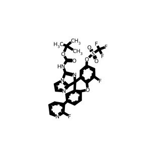 CC(C)(C)OC(=O)NC1=NC2(c3cc(-c4cccnc4F)ccc3Oc3c(F)cc(OS(=O)(=O)C(F)(F)F)cc32)c2nccn21